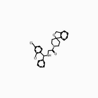 O=C(CNC(c1ccccc1)c1ccc(Cl)cc1Cl)N1CCC2(CC1)OCc1ccccc12